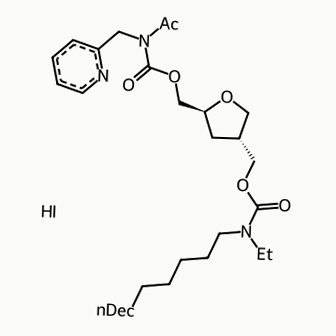 CCCCCCCCCCCCCCCN(CC)C(=O)OC[C@H]1CO[C@H](COC(=O)N(Cc2ccccn2)C(C)=O)C1.I